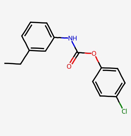 CCc1cccc(NC(=O)Oc2ccc(Cl)cc2)c1